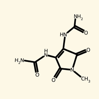 CN1C(=O)C(NC(N)=O)=C(NC(N)=O)C1=O